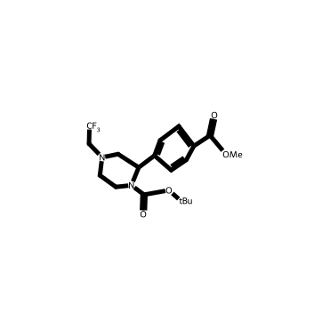 COC(=O)c1ccc(C2CN(CC(F)(F)F)CCN2C(=O)OC(C)(C)C)cc1